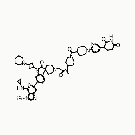 CC(C)n1cnc2cc(-c3ccc4c(c3)N(C3CC(N5CCCCC5)C3)C(=O)C43CCN(CC(=O)N(C)C4CCN(C(=O)C5CCN(c6ccc(C7CCC(=O)NC7=O)cn6)CC5)CC4)CC3)nc(NC3CC3)c21